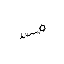 [CH2]C=CNCCCCSc1ccccc1